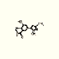 Cc1cc(-c2cc(O)c3nc[nH]c(=O)c3c2)n(C)n1